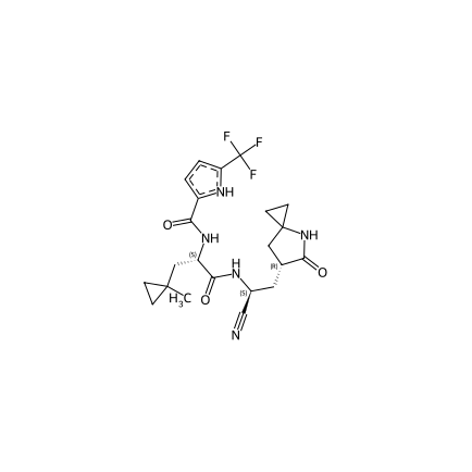 CC1(C[C@H](NC(=O)c2ccc(C(F)(F)F)[nH]2)C(=O)N[C@H](C#N)C[C@@H]2CC3(CC3)NC2=O)CC1